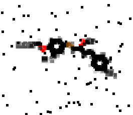 CCOC(=O)COc1ccc(SCC(C=Cc2ccc(C(F)(F)F)cc2)OCC)cc1C